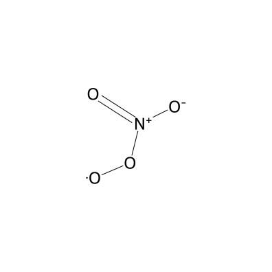 [O]O[N+](=O)[O-]